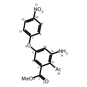 COC(=O)c1cc(Oc2ccc([N+](=O)[O-])cc2)cc(N)c1C(C)=O